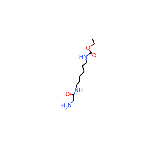 CCOC(=O)NCCCCCCNC(=O)CN